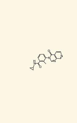 Cc1c(C(=O)NC2CC2)cccc1-n1cnc2cnccc2c1=O